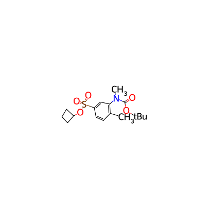 Cc1ccc(S(=O)(=O)OC2CCC2)cc1N(C)C(=O)OC(C)(C)C